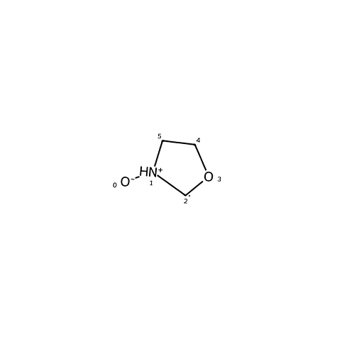 [O-][NH+]1[CH]OCC1